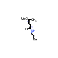 CC/C(=C\C=C(/C)OC)NCCC(C)CC